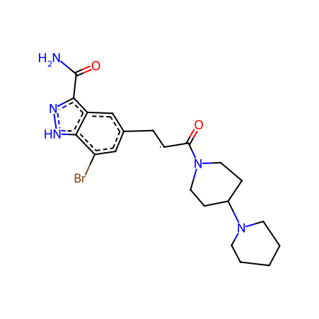 NC(=O)c1n[nH]c2c(Br)cc(C[CH]C(=O)N3CCC(N4CCCCC4)CC3)cc12